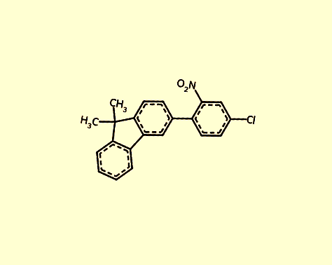 CC1(C)c2ccccc2-c2cc(-c3ccc(Cl)cc3[N+](=O)[O-])ccc21